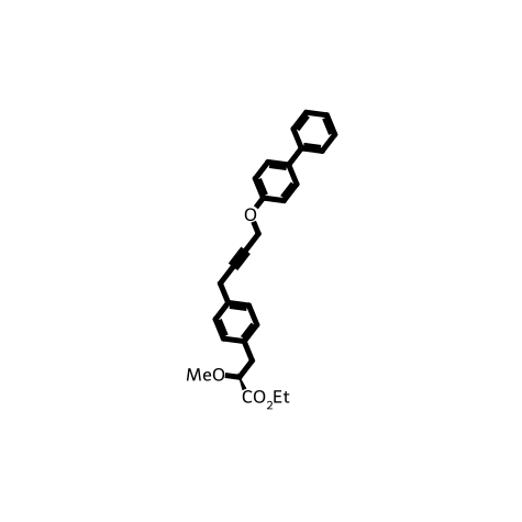 CCOC(=O)[C@H](Cc1ccc(CC#CCOc2ccc(-c3ccccc3)cc2)cc1)OC